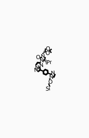 CC(C)[C@H]1CN(C[C@H]2COC(C)(C)O2)C(=O)N1c1ccn2ncc(-c3ccc(-c4nccn4COCC[Si](C)(C)C)cc3)c2n1